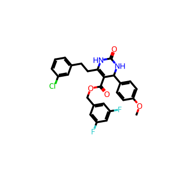 COc1ccc(C2NC(=O)NC(CCc3cccc(Cl)c3)=C2C(=O)OCc2cc(F)cc(F)c2)cc1